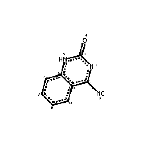 [C-]#[N+]c1nc(=O)[nH]c2ccccc12